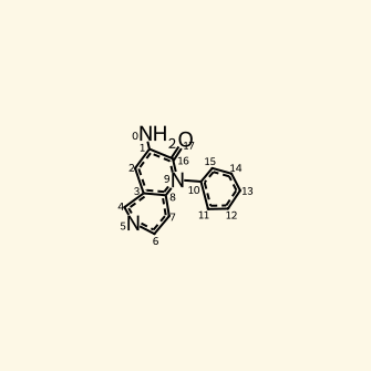 Nc1cc2cnccc2n(-c2ccccc2)c1=O